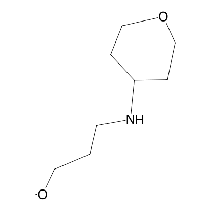 [O]CCCNC1CCOCC1